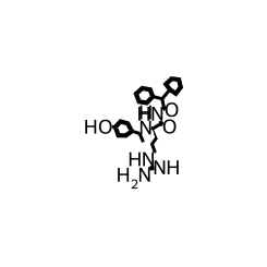 CC(N[C@H](CCCNC(=N)N)C(=O)NC(=O)C(c1ccccc1)c1ccccc1)c1ccc(O)cc1